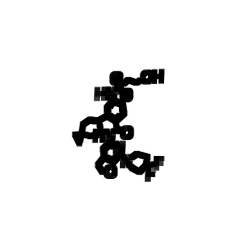 O=C(Nc1cc2c(c(N3CCC(F)(F)CC3)n1)OCC2)c1ccc(NS(=O)(=O)CCO)cc1C1=CCC2(CC1)CC2